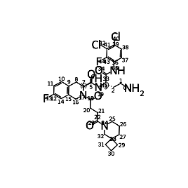 NCC[C@H](NC(=O)[C@@H]1Cc2ccc(F)cc2CN1C(=O)CCC(=O)N1CCCC2(CCC2)C1)C(=O)Nc1ccc(Cl)c(Cl)c1F